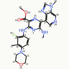 CNc1nc(Nc2ccc(N3CCOCC3)c(C)c2F)c(C(=O)OC)nc1-c1cncc2c1ncn2C